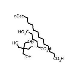 CCCCCCCCCCCCCCCCCCCCCC(=O)O.O=C(O)CCCCC(=O)O.OCC(CO)(CO)CO